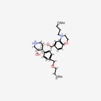 COCCCN1CCOc2ccc(CO[C@H]3CNC[C@@H](O)[C@@H]3c3ccc(COCCSC)cc3)cc21